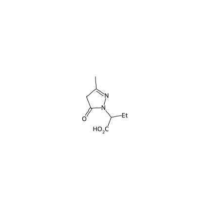 CCC(C(=O)O)N1N=C(C)CC1=O